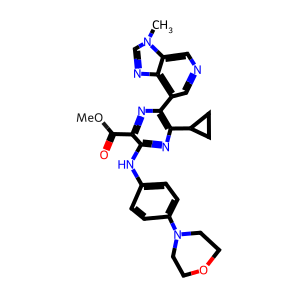 COC(=O)c1nc(-c2cncc3c2ncn3C)c(C2CC2)nc1Nc1ccc(N2CCOCC2)cc1